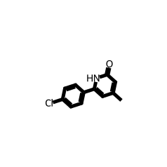 Cc1cc(-c2ccc(Cl)cc2)[nH]c(=O)c1